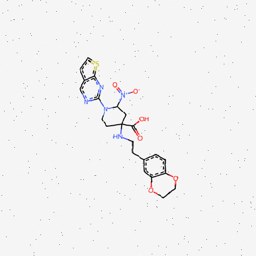 O=C(O)C1(NCCc2ccc3c(c2)OCCO3)CCN(c2ncc3ccsc3n2)C([N+](=O)[O-])C1